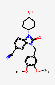 COc1ccc(Cn2c(=O)n([C@H]3CC[C@@H](O)CC3)c3ccc(C#N)cc32)cc1OC